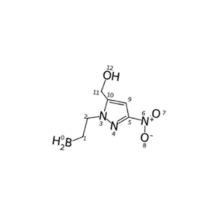 BCCn1nc([N+](=O)[O-])cc1CO